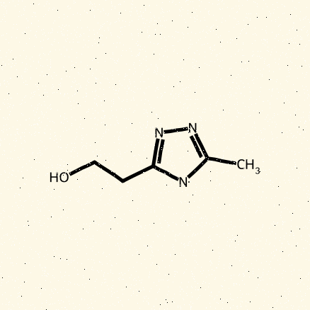 CC1=NN=C(CCO)[N]1